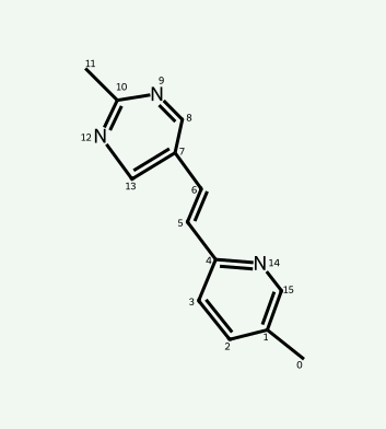 Cc1ccc(C=Cc2cnc(C)nc2)nc1